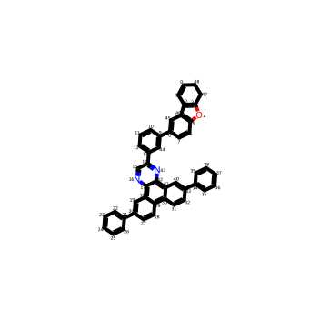 C1=Cc2c(oc3ccc(-c4cccc(-c5cnc6c7cc(-c8ccccc8)ccc7c7ccc(-c8ccccc8)cc7c6n5)c4)cc23)CC1